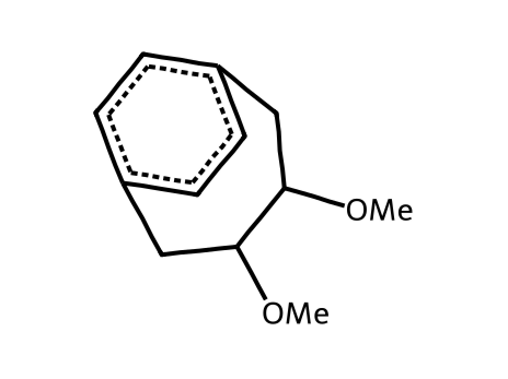 COC1Cc2ccc(cc2)CC1OC